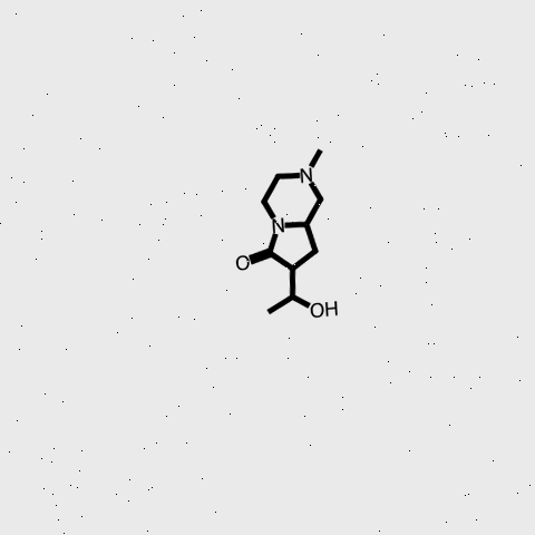 CC(O)C1CC2CN(C)CCN2C1=O